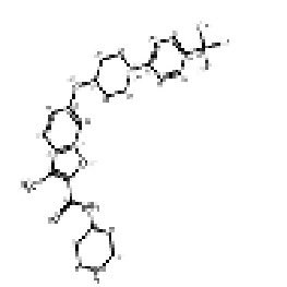 Cc1c(C(=O)NC2CCNCC2)oc2cc(OC3CCN(c4ccc(C(F)(F)F)cc4)CC3)ccc12